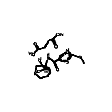 CSc1ncc(C(=O)N[C@H]2CN3CCC2CC3)s1.O=C(O)C=CC(=O)O